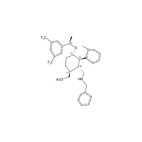 CC(=O)OC[C@H]1CC[C@H](O[C@H](C)c2cc(C(F)(F)F)cc(C(F)(F)F)c2)[C@@H](c2ccccc2C)[C@@H]1CNCc1ccccc1